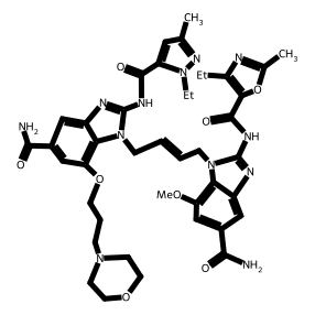 CCc1nc(C)oc1C(=O)Nc1nc2cc(C(N)=O)cc(OC)c2n1C/C=C/Cn1c(NC(=O)c2cc(C)nn2CC)nc2cc(C(N)=O)cc(OCCCN3CCOCC3)c21